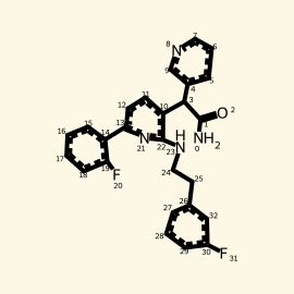 NC(=O)C(c1cccnc1)c1ccc(-c2ccccc2F)nc1NCCc1cccc(F)c1